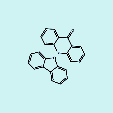 O=c1c2ccccc2oc2ccccc12.c1ccc2c(c1)oc1ccccc12